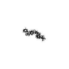 CC(C(=O)Nc1cccnc1)c1ccc(OC2CCN(c3ncnc(OCC(C)(F)F)c3F)C2)cc1